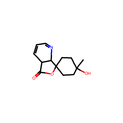 CC1(O)CCC2(CC1)OC(=O)C1C=CC=NC12